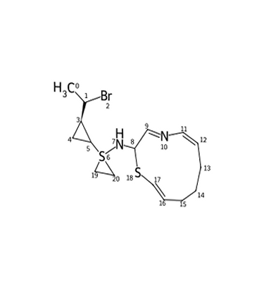 CC(Br)[C@@H]1CC1S1(NC2/C=N/C=CCCC/C=C/S2)CC1